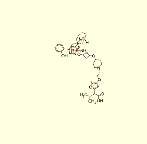 CC(C)C(C(=O)O)c1cc(OCCN2CCC(OC3CC(Oc4cc(N5C6CC[C@@H]5CN(c5cc(-c7ccccc7O)nnc5N)C6)ccn4)C3)CC2)no1